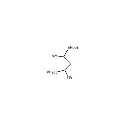 CCCCCCCC(CCC)CC(CCC)CCCCCCC